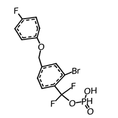 O=[PH](O)OC(F)(F)c1ccc(COc2ccc(F)cc2)cc1Br